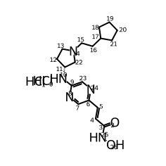 Cl.Cl.O=C(/C=C/c1cnc(N[C@@H]2CCN(CCC3CCCC3)C2)cn1)NO